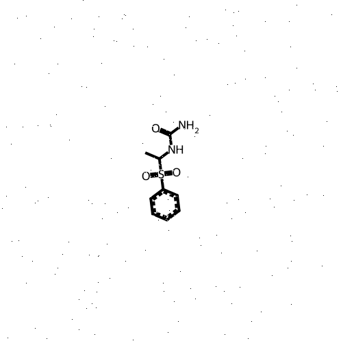 CC(NC(N)=O)S(=O)(=O)c1ccccc1